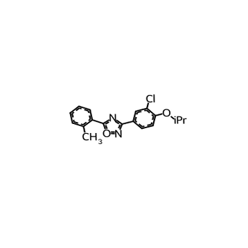 [CH2]C(C)Oc1ccc(-c2noc(-c3ccccc3C)n2)cc1Cl